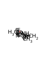 C=CCn1cc(C(=O)Nc2cccc(-c3nncn3[C@H](C)C(F)(F)F)n2)c(OC)n1